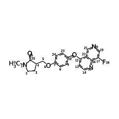 CN1CCC(COc2ccc(Oc3ccnc4c(F)cncc34)cc2)C1=O